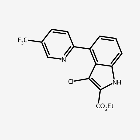 CCOC(=O)c1[nH]c2cccc(-c3ccc(C(F)(F)F)cn3)c2c1Cl